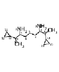 CC(C(N)CCCC(N)C(C)C1CC1)C1CC1